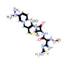 CCON=C(C(=O)NC1C(=O)N2C(C(=O)[O-])=C(C[n+]3cccc(N(C)C)c3)CS[C@@H]12)c1nsc(N)n1